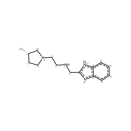 C[C@H]1CCN(CCNCc2nc3ccccc3[nH]2)C1